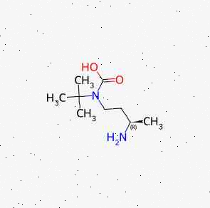 C[C@@H](N)CCN(C(=O)O)C(C)(C)C